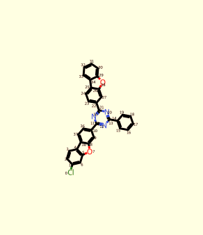 Clc1ccc2c(c1)oc1cc(-c3nc(-c4ccccc4)nc(-c4ccc5c(c4)oc4ccccc45)n3)ccc12